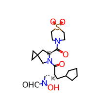 O=CN(O)C[C@@H](CC1CCCC1)C(=O)N1CC2(CC2)C[C@H]1C(=O)N1CCS(=O)(=O)CC1